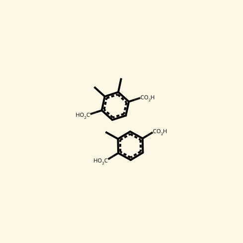 Cc1c(C(=O)O)ccc(C(=O)O)c1C.Cc1cc(C(=O)O)ccc1C(=O)O